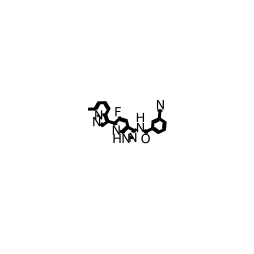 Cc1cccc2c(-c3nc4[nH]nc(NC(=O)c5cccc(C#N)c5)c4cc3F)cnn12